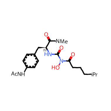 CNC(=O)[C@H](Cc1ccc(NC(C)=O)cc1)NC(=O)N(O)C(=O)CCCC(C)C